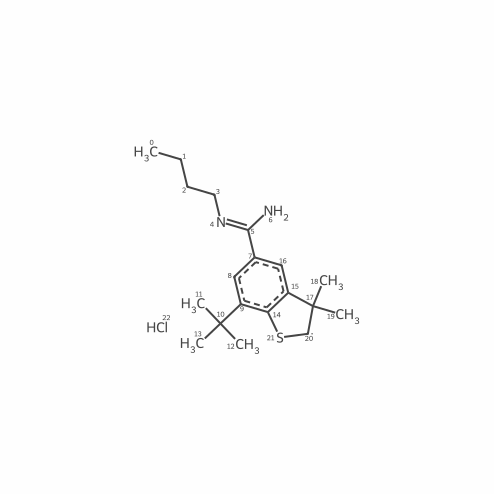 CCCCN=C(N)c1cc(C(C)(C)C)c2c(c1)C(C)(C)[CH]S2.Cl